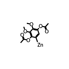 COc1c(OC(C)=O)cc(C)c(OC(C)=O)c1OC.[Zn]